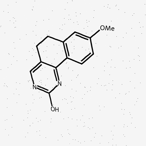 COc1ccc2c(c1)CCc1cnc(O)nc1-2